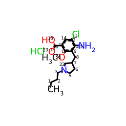 CCCCN1CCC(Cc2c(N)c(Cl)cc(C(=O)O)c2OC)C1.Cl